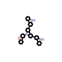 c1ccc2c(c1)[nH]c1ccc(-c3ccc4c(c3)c3cc(-c5ccc6[nH]c7ccccc7c6c5)ccc3n4-c3ccc4oc5ccccc5c4c3)cc12